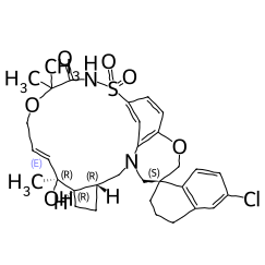 CC1(C)OC/C=C/[C@](C)(O)[C@@H]2CC[C@H]2CN2C[C@@]3(CCCc4cc(Cl)ccc43)COc3ccc(cc32)S(=O)(=O)NC1=O